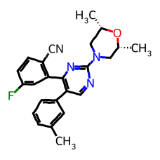 Cc1cccc(-c2cnc(N3C[C@@H](C)O[C@@H](C)C3)nc2-c2cc(F)ccc2C#N)c1